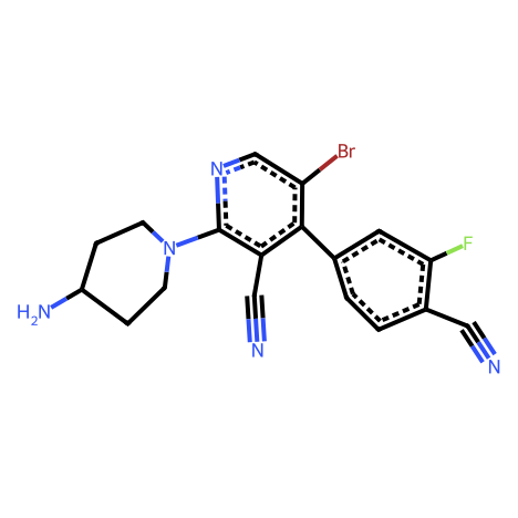 N#Cc1ccc(-c2c(Br)cnc(N3CCC(N)CC3)c2C#N)cc1F